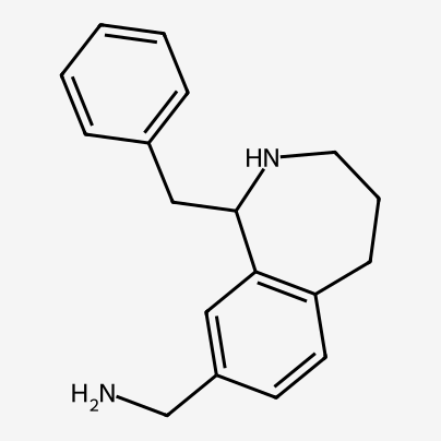 NCc1ccc2c(c1)C(Cc1ccccc1)NCCC2